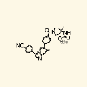 Cc1cc2ncc(-c3ccc(C#N)cc3)n2cc1-c1ccc(C(=O)N2CCC(C)(NC(=O)OC(C)(C)C)CC2)cc1